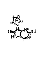 O=c1[nH]c2cnc(Cl)nc2n1[Si@H]1CCOC1